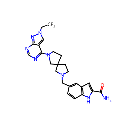 NC(=O)c1cc2cc(CN3CCC4(CCN(c5ncnc6nn(CC(F)(F)F)cc56)C4)C3)ccc2[nH]1